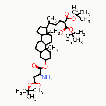 CC(CCC(C(=O)OC(C)(C)C)C(=O)OC(C)(C)C)C1CCC2C3CCC4CC(OC(=O)C(N)CC(=O)OC(C)(C)C)CCC4(C)C3CCC12C